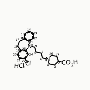 Cl.O=C(O)C1CCN(CCCCN2c3ccccc3CCc3ccc(Cl)cc32)CC1